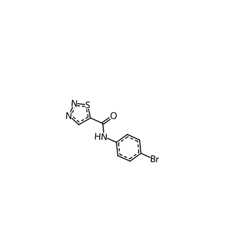 O=C(Nc1ccc(Br)cc1)c1cnns1